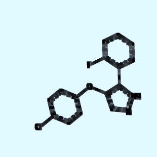 Fc1ccccc1-c1[nH]ncc1Oc1ccc(Cl)cc1